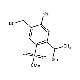 CCCc1cc(C(C)C(C)(C)C)c(S(=O)(=O)NC)cc1CC#N